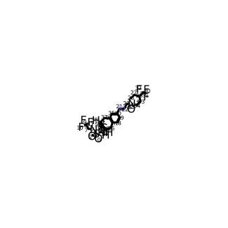 O=S1(=O)N[C@@]2(CN1CC(F)(F)F)[C@@H]1CC[C@H]2Cc2ccc(/C=C/C[N+]3([O-])CCC(C(F)(F)F)CC3)cc2C1